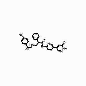 C[C@H](CNCC(C(=O)Nc1ccc(-c2cnn(C)c(=O)c2)cn1)c1ccccc1)c1ccc(C#N)cc1